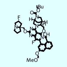 C#Cc1cccc2cc(OCOC)cc(-c3nc4c5c(nc(OC[C@@]67CCCN6C[C@H](F)C7)nc5c3F)N3C[C@H]5CC[C@H](CN5C(=O)OC(C)(C)C)[C@H]3CO4)c12